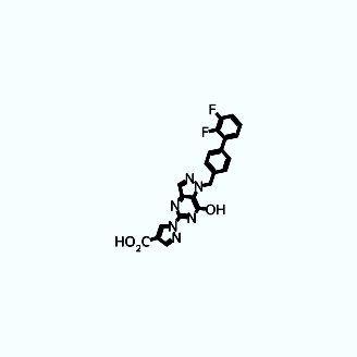 O=C(O)c1cnn(-c2nc(O)c3c(cnn3Cc3ccc(-c4cccc(F)c4F)cc3)n2)c1